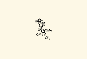 COc1cc(C(=O)N(CCCc2ccccc2)Cc2nc(C(=O)O)c(C)s2)cc(OC)c1COCC(F)(F)F